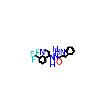 O=C(NNc1ccnc2c(C(F)(F)F)cccc12)c1cc2ccccc2[nH]1